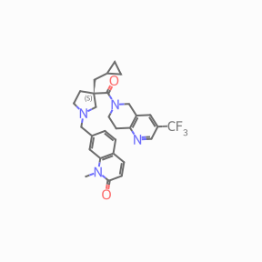 Cn1c(=O)ccc2ccc(CN3CC[C@](CC4CC4)(C(=O)N4CCc5ncc(C(F)(F)F)cc5C4)C3)cc21